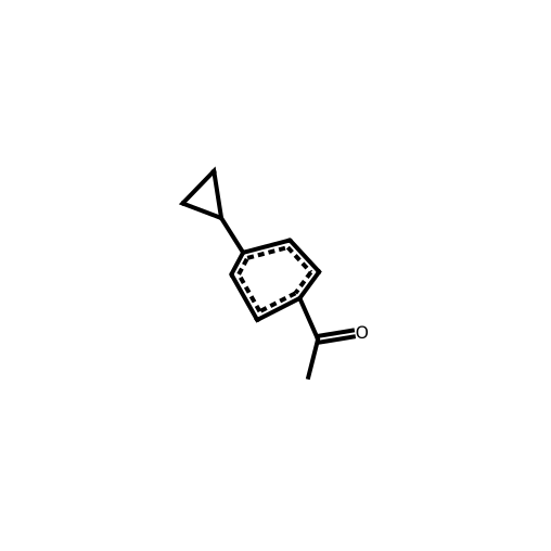 CC(=O)c1ccc(C2CC2)cc1